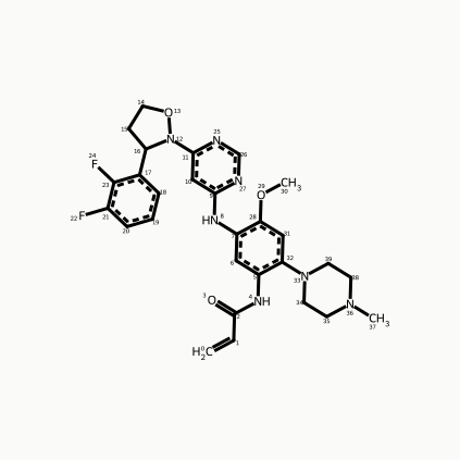 C=CC(=O)Nc1cc(Nc2cc(N3OCCC3c3cccc(F)c3F)ncn2)c(OC)cc1N1CCN(C)CC1